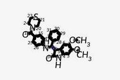 COc1cc2c(cc1OC)/C(=C(/Nc1ccc(C(=O)N3CCSCC3)cc1)c1ccccc1)C(=O)N2